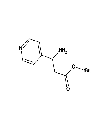 CC(C)(C)OC(=O)CC(N)c1ccncc1